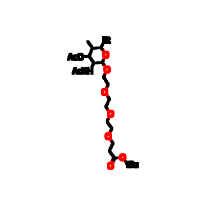 CCC1OC(OCCOCCOCCOCCC(=O)OC(C)(C)C)C(NC(C)=O)C(OC(C)=O)C1C